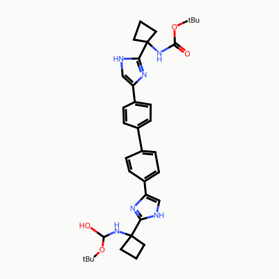 CC(C)(C)OC(=O)NC1(c2nc(-c3ccc(-c4ccc(-c5c[nH]c(C6(NC(O)OC(C)(C)C)CCC6)n5)cc4)cc3)c[nH]2)CCC1